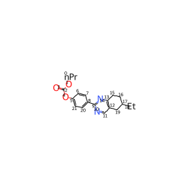 CCCOC(=O)Oc1ccc(-c2ncc3c(n2)CCC(CC)C3)cc1